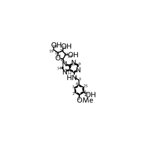 COc1ccc(CNc2ncnc3c2ncn3C2OC(CO)C(O)C2O)cc1O